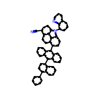 N#Cc1ccc2c3c1ccc1c(-c4c5ccccc5c(-c5ccc(-c6ccccc6)c6ccccc56)c5ccccc45)ccc(c13)n2-c1cccc2cccnc12